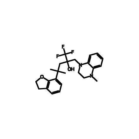 CN1CCN(CC(O)(CC(C)(C)c2cccc3c2OCC3)C(F)(F)F)c2ccccc21